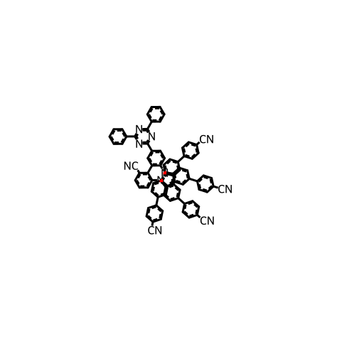 N#Cc1ccc(-c2ccc3c(c2)c2cc(-c4ccc(C#N)cc4)ccc2n3-c2ccc(-c3nc(-c4ccccc4)nc(-c4ccccc4)n3)cc2-c2c(C#N)cccc2-n2c3ccc(-c4ccc(C#N)cc4)cc3c3cc(-c4ccc(C#N)cc4)ccc32)cc1